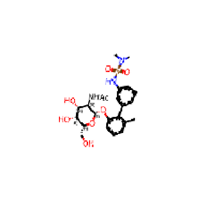 CC(=O)N[C@H]1[C@H](Oc2cccc(C)c2-c2cccc(NS(=O)(=O)N(C)C)c2)O[C@H](CO)[C@H](O)[C@@H]1O